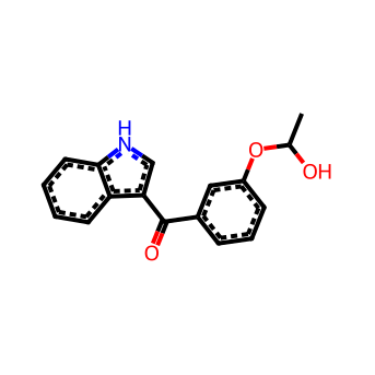 CC(O)Oc1cccc(C(=O)c2c[nH]c3ccccc23)c1